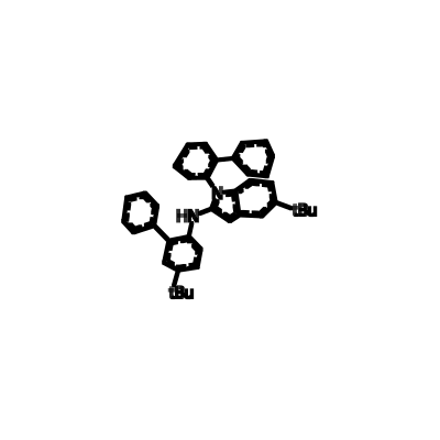 CC(C)(C)c1ccc(Nc2cc3cc(C(C)(C)C)ccc3n2-c2ccccc2-c2ccccc2)c(-c2ccccc2)c1